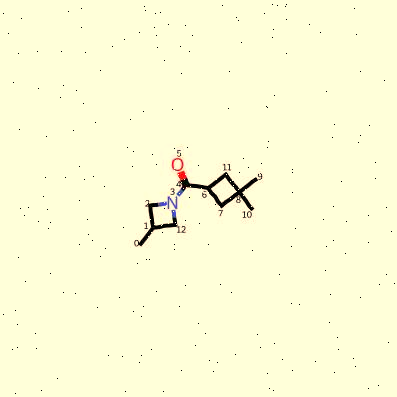 CC1CN(C(=O)C2CC(C)(C)C2)C1